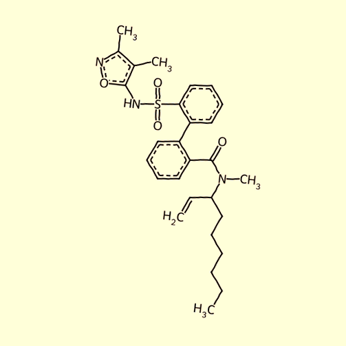 C=CC(CCCCCC)N(C)C(=O)c1ccccc1-c1ccccc1S(=O)(=O)Nc1onc(C)c1C